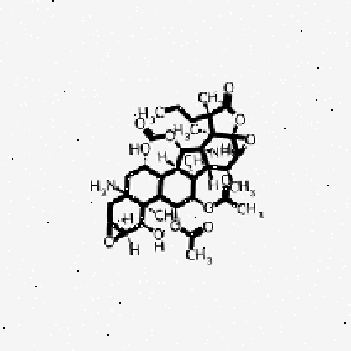 CCC[C@]1(C)C(=O)O[C@@]23O[C@@H]2[C@@H](C)[C@@H]2[C@]4(C)[C@H](C5C([C@H](OC(C)=O)[C@@H]4OC(C)=O)[C@@]4(C)[C@@H](O)[C@H]6O[C@H]6C[C@]4(N)C[C@@H]5O)[C@@H](OC=O)[C@@]2(N)[C@]31C